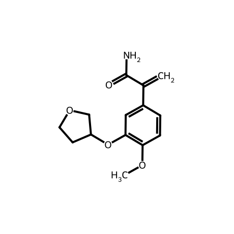 C=C(C(N)=O)c1ccc(OC)c(OC2CCOC2)c1